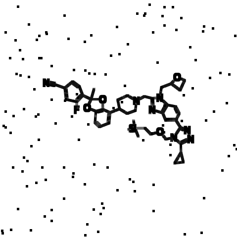 CC1(c2ccc(C#N)cc2F)Oc2cccc(C3CCN(Cc4nc5cc(-c6nnc(C7CC7)n6COCC[Si](C)(C)C)ccc5n4CC4CCO4)CC3)c2O1